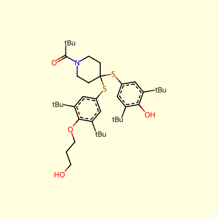 CC(C)(C)C(=O)N1CCC(Sc2cc(C(C)(C)C)c(O)c(C(C)(C)C)c2)(Sc2cc(C(C)(C)C)c(OCCCO)c(C(C)(C)C)c2)CC1